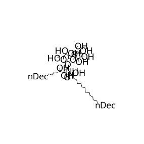 CCCCCCCCCCCCCCCCCCCCCC[C@@H](O)C(=O)N[C@@H](CO[C@H]1O[C@H](CO)[C@H](O)[C@H](O)[C@H]1O[C@H]1O[C@H](CO)[C@H](O)[C@H](O)[C@H]1O)[C@H](O)[C@H](O)CCCCCCCCCCCCCC